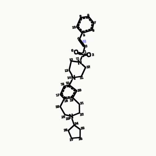 O=S(=O)(/C=C/c1ccccc1)N1CCN(c2ccc3c(c2)CCN(C2CCCC2)CC3)CC1